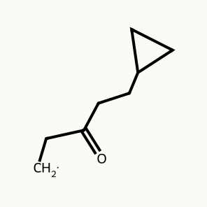 [CH2]CC(=O)CCC1CC1